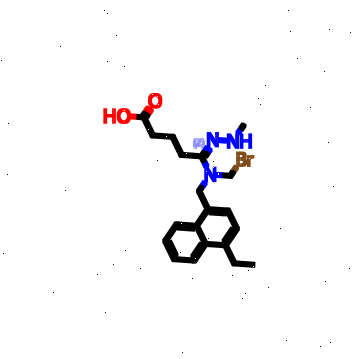 CCc1ccc(CN(CBr)/C(CCCC(=O)O)=N\NC)c2ccccc12